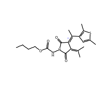 CCCCOC(=O)NN1C(=O)C(=C(C)C)/C(=C(/C)c2cc(C)sc2C)C1=O